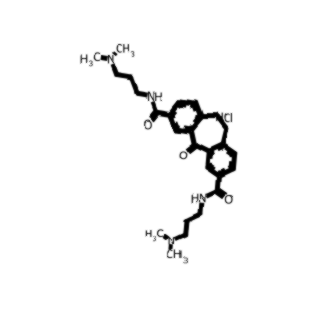 CN(C)CCCNC(=O)c1ccc2c(c1)C(=O)c1cc(C(=O)NCCCN(C)C)ccc1CC2.Cl